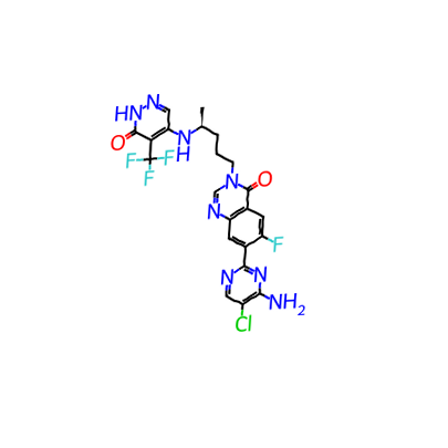 C[C@@H](CCCn1cnc2cc(-c3ncc(Cl)c(N)n3)c(F)cc2c1=O)Nc1cn[nH]c(=O)c1C(F)(F)F